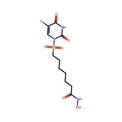 O=C(CCCCCCS(=O)(=O)n1cc(F)c(=O)[nH]c1=O)NO